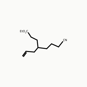 C=CCC(CCCC#N)CCC(=O)OCC